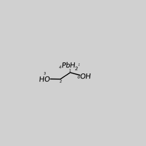 OCCO.[PbH2]